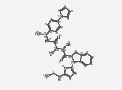 CCNc1nnc([C@H]2c3ccccc3CN2C(=O)[C@H](O)[C@@H](O)C(=O)N[C@H](C)c2ccc(-n3cccn3)cc2)o1